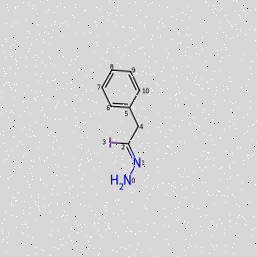 NN=C(I)Cc1ccccc1